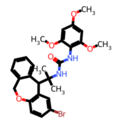 COc1cc(OC)c(NC(=O)NC(C)(C)C2c3ccccc3COc3ccc(Br)cc32)c(OC)c1